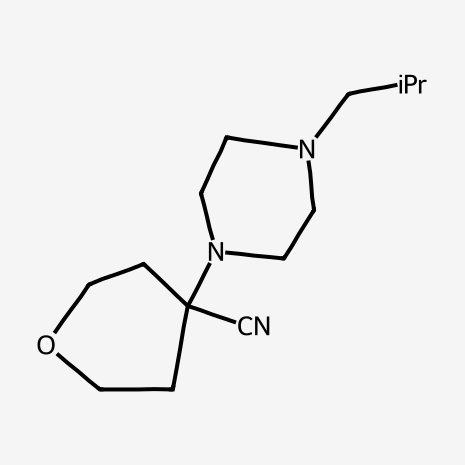 CC(C)CN1CCN(C2(C#N)CCOCC2)CC1